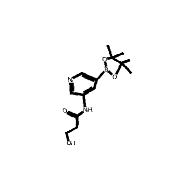 CC1(C)OB(c2cncc(NC(=O)CCO)c2)OC1(C)C